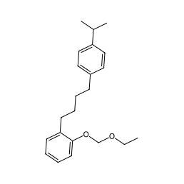 CCOCOc1ccccc1CCCCc1ccc(C(C)C)cc1